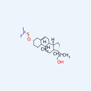 C[C@@H](CO)[C@H]1CC[C@H]2[C@@H]3CC=C4C[C@@H](OSP(I)I)CC[C@]4(C)[C@H]3CC[C@]12C